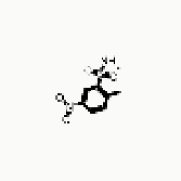 [CH2]c1ccc([N+](=O)[O-])cc1S(N)(=O)=O